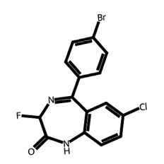 O=C1Nc2ccc(Cl)cc2C(c2ccc(Br)cc2)=NC1F